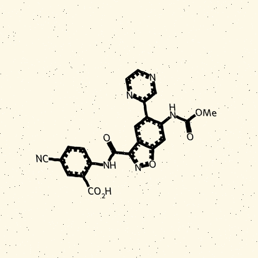 COC(=O)Nc1cc2onc(C(=O)Nc3ccc(C#N)cc3C(=O)O)c2cc1-c1cnccn1